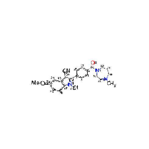 CCn1c(-c2ccc(C(=O)N3CCCN(C)CC3)cc2)c(C#N)c2cc(OC)ccc21